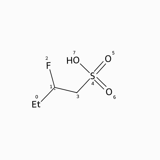 CC[C](F)CS(=O)(=O)O